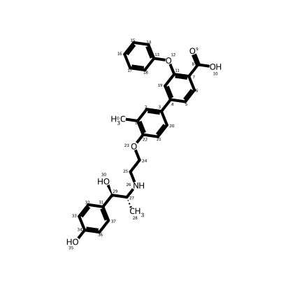 Cc1cc(-c2ccc(C(=O)O)c(Oc3ccccc3)c2)ccc1OCCN[C@H](C)[C@H](O)c1ccc(O)cc1